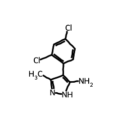 Cc1n[nH]c(N)c1-c1ccc(Cl)cc1Cl